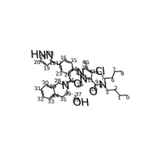 CCCCN(CCCC)C(=O)c1nn(-c2ccc(-c3cc[nH]n3)cc2C(=O)N2Cc3ccccc3C[C@H]2CO)c(C)c1Cl